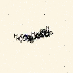 C=C/C=C\C(=C/C)C(F)(F)C(=O)NCc1ccc2c(c1)CN(C1CCC(=O)NC1=O)C2=O